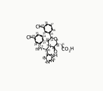 CCC[C@H](c1nnn[nH]1)N1C(=O)[C@@H](CC(=O)O)O[C@H](c2cccc(Cl)c2)[C@H]1c1ccc(Cl)cc1